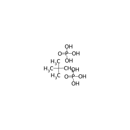 CC(C)(C)C.O=P(O)(O)O.O=P(O)(O)O